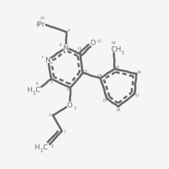 C=CCOc1c(C)nn(CC(C)C)c(=O)c1-c1ccccc1C